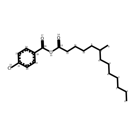 CCCCCCCC(C)CCCCC(=O)OC(=O)c1ccc(Cl)cc1